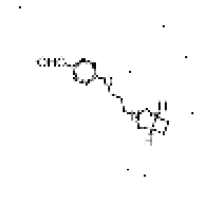 O=[C]c1ccc(OCCCN2C[C@H]3CC[C@H]3C2)cc1